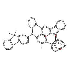 Cc1ccccc1-c1ccc(N(c2ccc3c(c2)C(C)(C)c2ccccc2-3)c2ccccc2-c2ccc3c(c2)c2ccccc2n3-c2ccccc2)cc1C